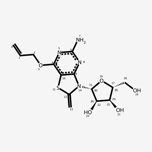 C=CCOc1nc(N)nc2c1SC(=C)N2[C@@H]1O[C@H](CO)[C@@H](O)[C@H]1O